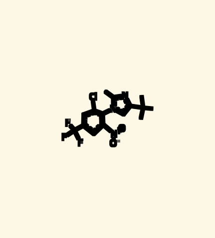 Cc1nc(C(C)(C)C)cn1-c1c(Cl)cc(C(F)(F)F)cc1[N+](=O)[O-]